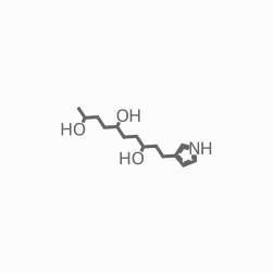 CC(O)CCC(O)CCC(O)CCc1cc[nH]c1